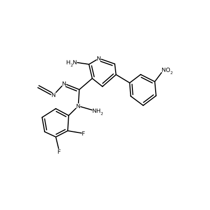 C=N/N=C(/c1cc(-c2cccc([N+](=O)[O-])c2)cnc1N)N(N)c1cccc(F)c1F